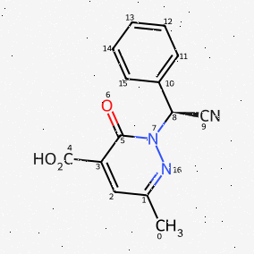 Cc1cc(C(=O)O)c(=O)n([C@H](C#N)c2ccccc2)n1